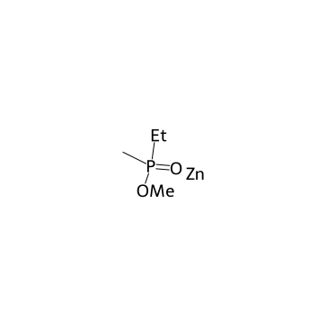 CCP(C)(=O)OC.[Zn]